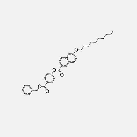 CCCCCCCCCCOc1ccc2cc(C(=O)Oc3ccc(C(=O)OCc4ccccc4)cc3)ccc2c1